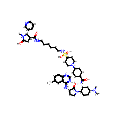 CC(C)N(C)[C@@H]1CCC(N2CC[C@H](Nc3ncnc4ccc(C(F)(F)F)cc34)C2=O)[C@H](NC(=O)C2CCC(N3CCC(S(=O)(=O)NCCCCCCNC(=O)[C@H]4CC(=O)N(C)[C@@H]4c4cccnc4)CC3)CC2)C1